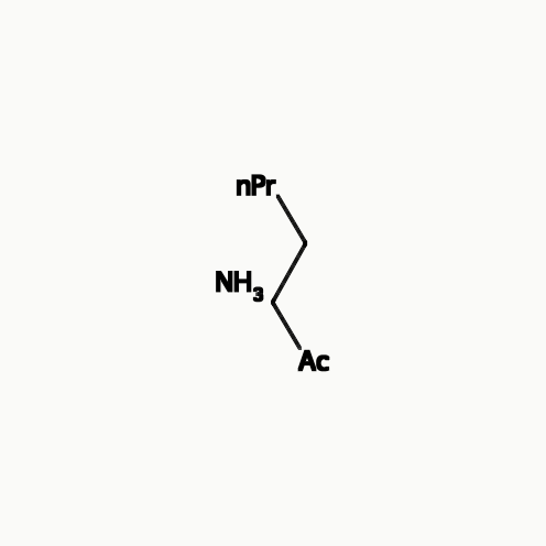 CCCCCC(C)=O.N